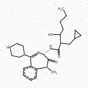 CCCCC(O)C(CC1CC1)C(=O)N[C@H]1N=C(N2CCNCC2)c2ccccc2N(C)C1=O